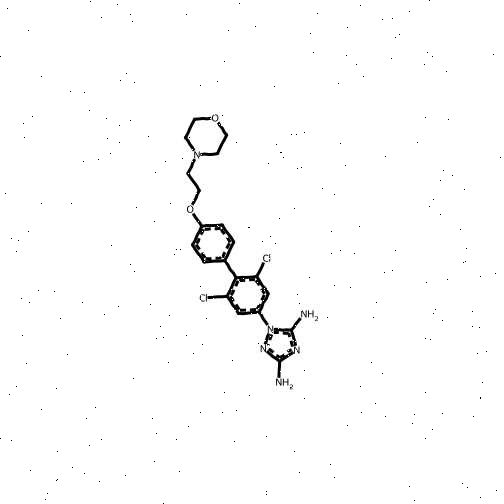 Nc1nc(N)n(-c2cc(Cl)c(-c3ccc(OCCN4CCOCC4)cc3)c(Cl)c2)n1